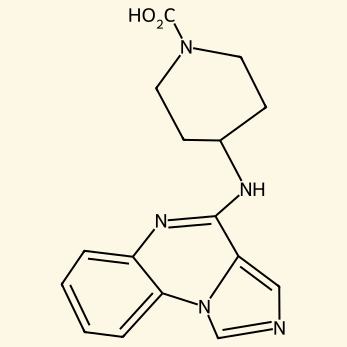 O=C(O)N1CCC(Nc2nc3ccccc3n3cncc23)CC1